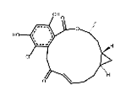 C[C@@H]1C[C@@H]2C[C@H]2CC/C=C/C(=O)Cc2c(Cl)c(O)cc(O)c2C(=O)O1